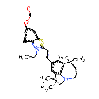 CC[n+]1c(/C=C/c2cc3c4c(c2)C(C)(C)CCN4CCC3(C)C)sc2cc(OC=O)ccc21